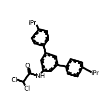 CC(C)c1ccc(-c2cc(NC(=O)C(Cl)Cl)cc(-c3ccc(C(C)C)cc3)c2)cc1